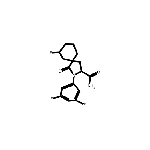 NC(=O)C1CC2(C[CH]CC(F)C2)C(=O)N1c1cc(F)cc(F)c1